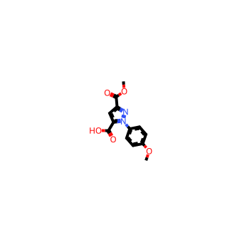 COC(=O)c1cc(C(=O)O)n(-c2ccc(OC)cc2)n1